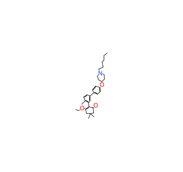 CCCCCCN1CCC(Oc2ccc(-c3ccc(C)c(C4=C(OCC)CC(C)(C)CC4=O)c3)cc2)CC1